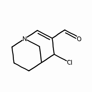 O=CC1=CN2CCCC(C2)C1Cl